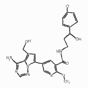 COc1ncc(-c2cc(CO)c3c(N)ncnn23)cc1C(=O)NCCC(O)c1ccc(Cl)cc1